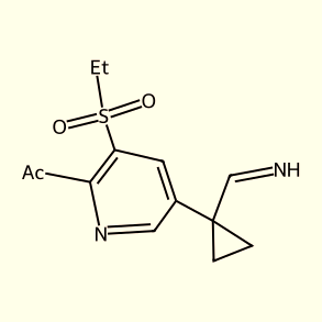 CCS(=O)(=O)c1cc(C2(C=N)CC2)cnc1C(C)=O